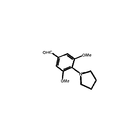 COc1cc(C=O)cc(OC)c1N1CCCC1